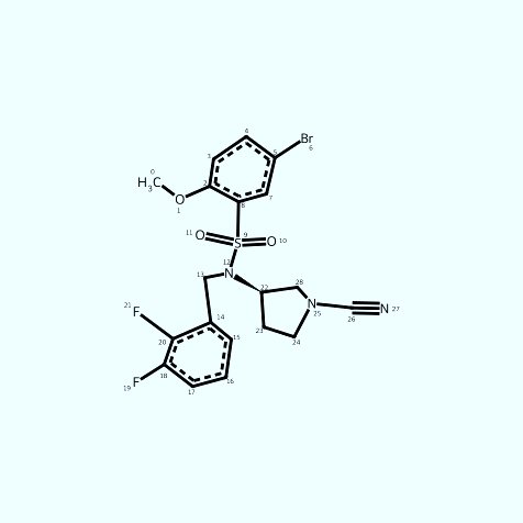 COc1ccc(Br)cc1S(=O)(=O)N(Cc1cccc(F)c1F)[C@@H]1CCN(C#N)C1